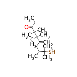 C=C(CC(C)C(C)(C)S)C(C)(C)C(C)(C)C(=O)CC